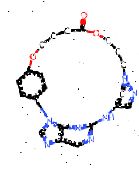 O=C1CCCOc2ccc(cc2)-n2cnc3cnc(nc32)Nc2cnn(c2)CCCO1